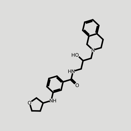 O=C(NCC(O)CN1CCc2ccccc2C1)c1cccc(NC2CCOC2)c1